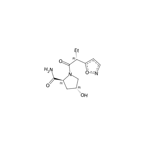 CC[C@@H](C(=O)N1C[C@H](O)C[C@H]1C(N)=O)c1ccno1